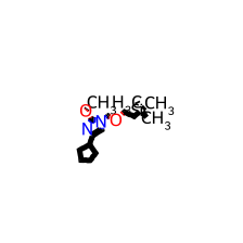 COc1nc(C2CCCC2)cn1COCC[Si](C)(C)C